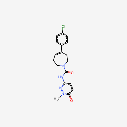 Cn1nc(NC(=O)N2CCC=C(c3ccc(Cl)cc3)CC2)ccc1=O